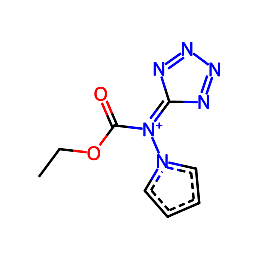 CCOC(=O)[N+](=C1N=NN=N1)n1cccc1